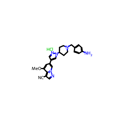 COc1cc(-c2cnn(C3CCN(Cc4ccc(N)cc4)CC3)c2)cn2ncc(C#N)c12.Cl